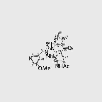 COc1cncc(CN(N)C(=S)Nc2sc(C)c(C)c2C(=O)c2ccc(NC(C)=O)cc2)c1